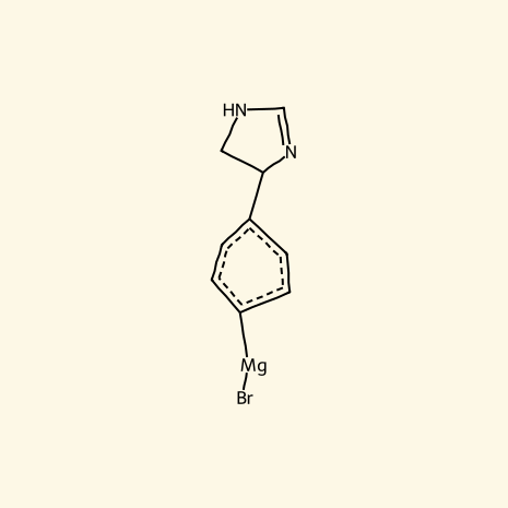 [Br][Mg][c]1ccc(C2CNC=N2)cc1